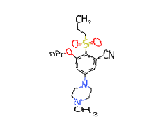 C=CCS(=O)(=O)c1c(C#N)cc(N2CCN(C)CC2)cc1OCCC